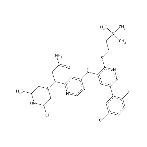 CC1CN(C(CC(N)=O)c2cc(Nc3cc(-c4cc(Cl)ccc4F)nnc3SCC[Si](C)(C)C)ncn2)CC(C)N1